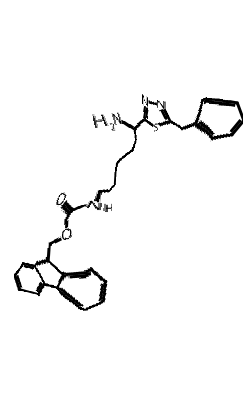 NC(CCCCNC(=O)OCC1c2ccccc2-c2ccccc21)c1nnc(-c2ccccc2)s1